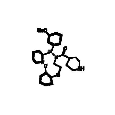 COc1cccc([C@@H](c2ccccn2)N(CCOc2ccccc2Cl)C(=O)C2CCNCC2)c1